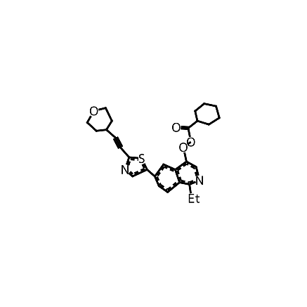 CCc1ncc(OOC(=O)C2CCCCC2)c2cc(-c3cnc(C#CC4CCOCC4)s3)ccc12